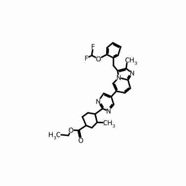 CCOC(=O)C1CCC(c2ncc(-c3ccc4nc(C)c(Cc5ccccc5OC(F)F)n4c3)cn2)C(C)C1